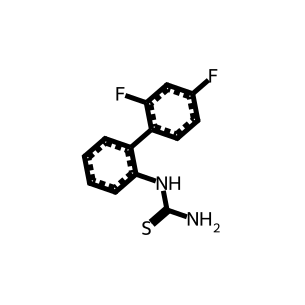 NC(=S)Nc1ccccc1-c1ccc(F)cc1F